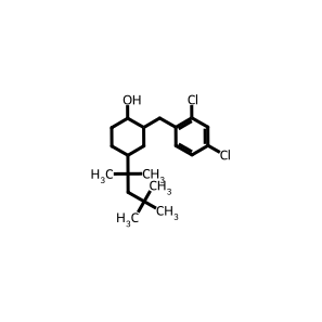 CC(C)(C)CC(C)(C)C1CCC(O)C(Cc2ccc(Cl)cc2Cl)C1